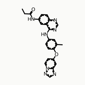 CCC(=O)Nc1ccc2ncnc(Nc3ccc(Oc4ccn5ncnc5c4)c(C)c3)c2c1